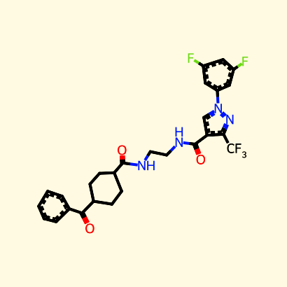 O=C(NCCNC(=O)C1CCC(C(=O)c2ccccc2)CC1)c1cn(-c2cc(F)cc(F)c2)nc1C(F)(F)F